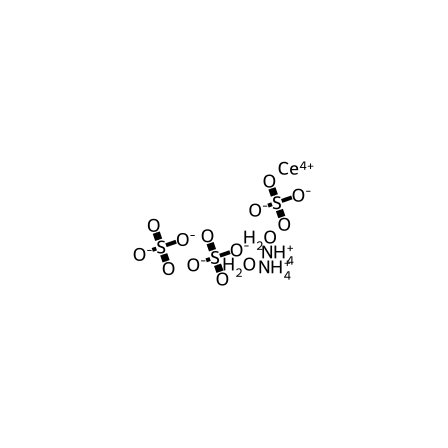 O.O.O=S(=O)([O-])[O-].O=S(=O)([O-])[O-].O=S(=O)([O-])[O-].[Ce+4].[NH4+].[NH4+]